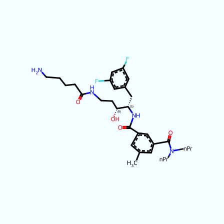 CCCN(CCC)C(=O)c1cc(C)cc(C(=O)N[C@@H](Cc2cc(F)cc(F)c2)[C@H](O)CCNC(=O)CCCCN)c1